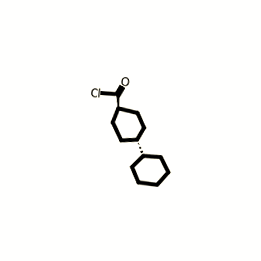 O=C(Cl)[C@H]1CC[C@H](C2CCCCC2)CC1